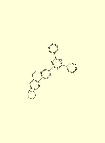 CCc1cc2c(cc1-c1ccc(-c3nc(-c4ccccc4)nc(-c4ccccc4)n3)cn1)C1CCC2C1